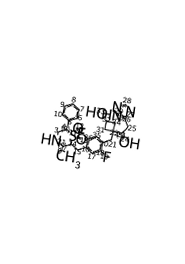 C[C@@H]1NC[C@@H](c2ccccc2)S(=O)(=O)C1Cc1cc(F)c(CC2([C@@H](O)Cc3ncn[nH]3)CC(O)C2)cc1F